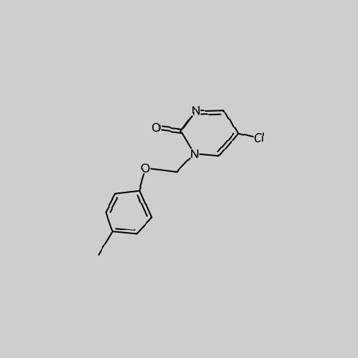 Cc1ccc(OCn2cc(Cl)cnc2=O)cc1